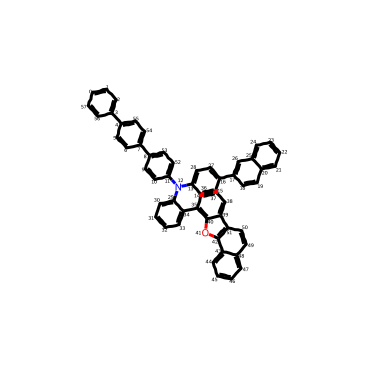 c1ccc(-c2ccc(-c3ccc(N(c4ccc(-c5ccc6ccccc6c5)cc4)c4ccccc4-c4cccc5c4oc4c6ccccc6ccc54)cc3)cc2)cc1